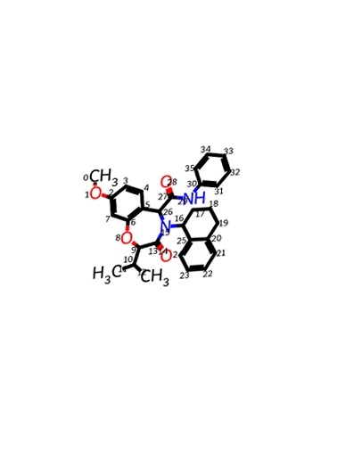 COc1ccc2c(c1)OC(C(C)C)C(=O)N(C1CCCc3ccccc31)C2C(=O)Nc1ccccc1